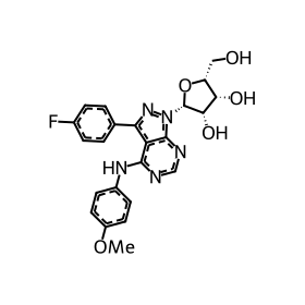 COc1ccc(Nc2ncnc3c2c(-c2ccc(F)cc2)nn3[C@@H]2O[C@H](CO)[C@H](O)[C@@H]2O)cc1